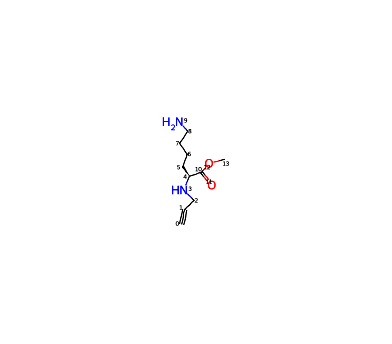 C#CCN[C@@H](CCCCN)C(=O)OC